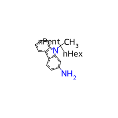 CCCCCCC(C)(CCCCC)n1c2ccccc2c2ccc(N)cc21